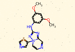 COc1cc(NC2=N[N+]3(c4cncs4)C=CN=CC3=N2)cc(OC)c1